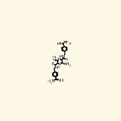 N=C(N)c1ccc(CNC(=O)c2nc(N)c(C(=O)NCc3ccc(C(=N)N)cc3)nc2N)cc1